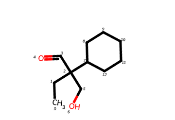 CCC(C=O)(CO)C1CCCCC1